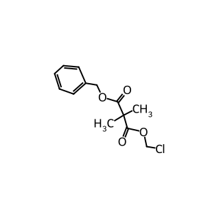 CC(C)(C(=O)OCCl)C(=O)OCc1ccccc1